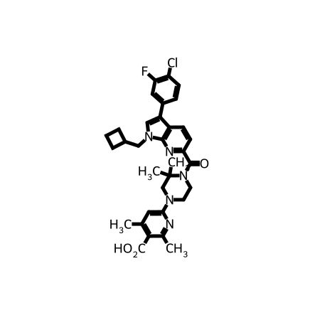 Cc1cc(N2CCN(C(=O)c3ccc4c(-c5ccc(Cl)c(F)c5)cn(CC5CCC5)c4n3)C(C)(C)C2)nc(C)c1C(=O)O